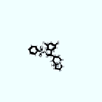 O=S(=O)(c1ccccc1)n1cc(C2=CCN3CCC[C@@H]3C2)c2cc(F)cc(F)c21